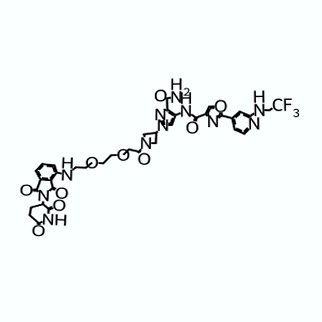 NC(=O)c1nn(C2CN(C(=O)COCCOCCNc3cccc4c3C(=O)N(C3CCC(=O)NC3=O)C4=O)C2)cc1NC(=O)c1coc(-c2ccnc(NCC(F)(F)F)c2)n1